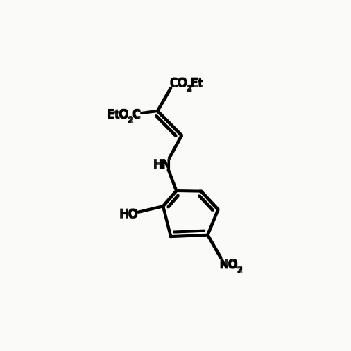 CCOC(=O)C(=CNc1ccc([N+](=O)[O-])cc1O)C(=O)OCC